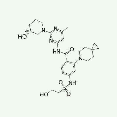 Cc1cc(NC(=O)c2ccc(NS(=O)(=O)CCO)cc2N2CCC3(CC2)CC3)nc(N2CCC[C@@H](O)C2)n1